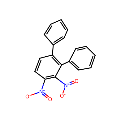 O=[N+]([O-])c1ccc(-c2ccccc2)c(-c2ccccc2)c1[N+](=O)[O-]